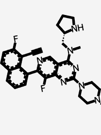 C#Cc1c(F)ccc2cccc(-c3ncc4c(N(C)C[C@@H]5CCCN5)nc(N5CCN(C)CC5)nc4c3F)c12